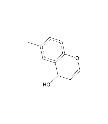 Cc1ccc2c(c1)C(O)C=CO2